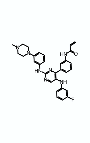 C=CC(=O)Nc1cccc(-c2nc(Nc3cccc(N4CCN(C)CC4)c3)ncc2Nc2cccc(F)c2)c1